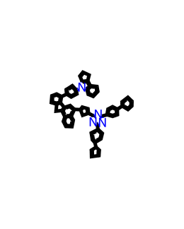 C1=CC(c2ccc(-c3nc(C4=CC=C(c5cc6c(c7ccccc57)Cc5cccc(-c7ccc(-n8c9c(c%10ccccc%108)CC=C9)cc7)c5-6)C4)nc(-c4ccc(-c5ccccc5)cc4)n3)cc2)C=C1